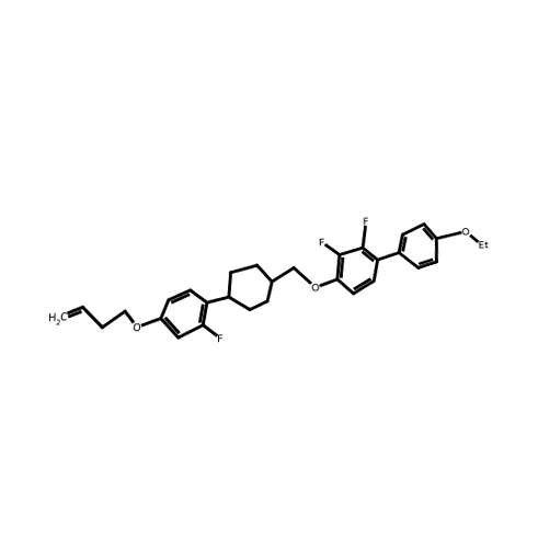 C=CCCOc1ccc(C2CCC(COc3ccc(-c4ccc(OCC)cc4)c(F)c3F)CC2)c(F)c1